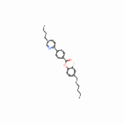 CCCCCCc1ccc(OC(=O)c2ccc(-c3ccc(CCCC)cn3)cc2)c(F)c1